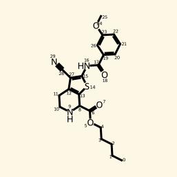 CCCCCOC(=O)C1NCCc2c1sc(NC(=O)c1cccc(OC)c1)c2C#N